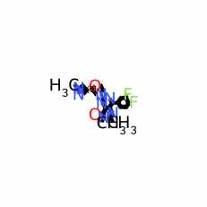 Cc1nc2c(-c3ccc(F)c(F)c3)nc(N3CCO[C@@H](c4cnn(C)c4)C3)nc2c(=O)n1C